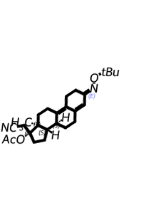 CC(=O)O[C@@]1(CC#N)CC[C@H]2[C@@H]3CCC4=C/C(=N/OC(C)(C)C)CCC4=C3CC[C@@]21C